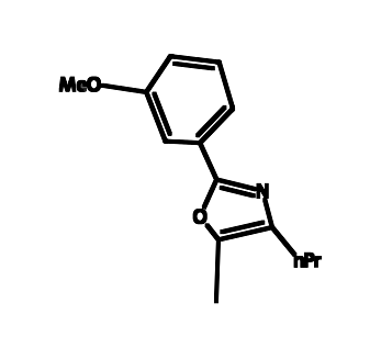 CCCc1nc(-c2cccc(OC)c2)oc1C